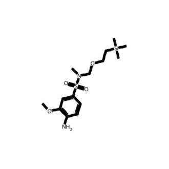 COc1cc(S(=O)(=O)N(C)COCC[Si](C)(C)C)ccc1N